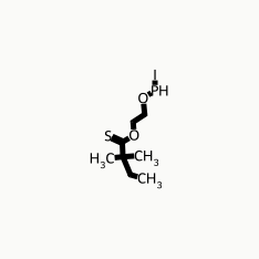 CCC(C)(C)C(=S)OCCOPI